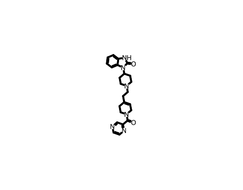 O=C(c1cnccn1)N1CC=C(CCN2CCC(n3c(=O)[nH]c4ccccc43)CC2)CC1